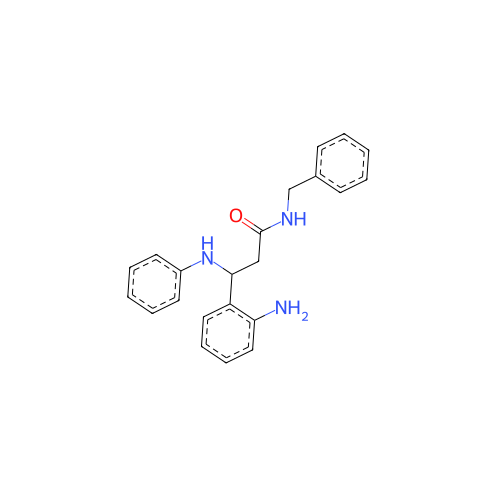 Nc1ccccc1C(CC(=O)NCc1ccccc1)Nc1ccccc1